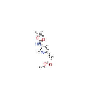 CCOC(=O)[C@H]1CC1c1ccc(NC(=O)OC(C)(C)C)cn1